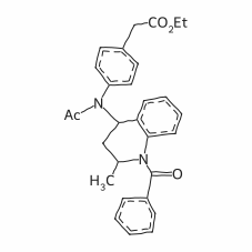 CCOC(=O)Cc1ccc(N(C(C)=O)C2CC(C)N(C(=O)c3ccccc3)c3ccccc32)cc1